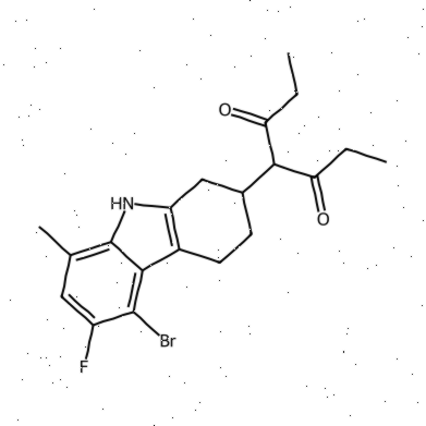 CCC(=O)C(C(=O)CC)C1CCc2c([nH]c3c(C)cc(F)c(Br)c23)C1